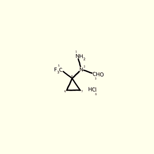 Cl.NN(C=O)C1(C(F)(F)F)CC1